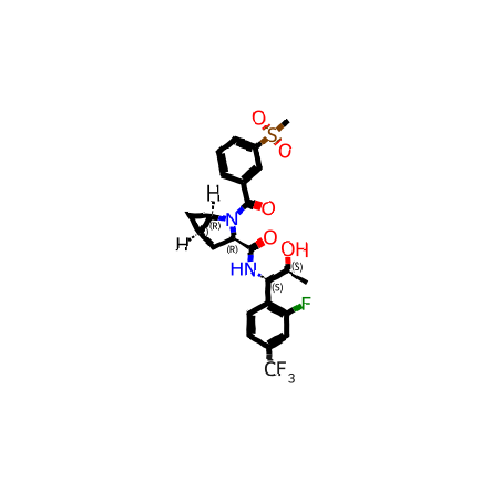 C[C@H](O)[C@@H](NC(=O)[C@H]1C[C@H]2C[C@H]2N1C(=O)c1cccc(S(C)(=O)=O)c1)c1ccc(C(F)(F)F)cc1F